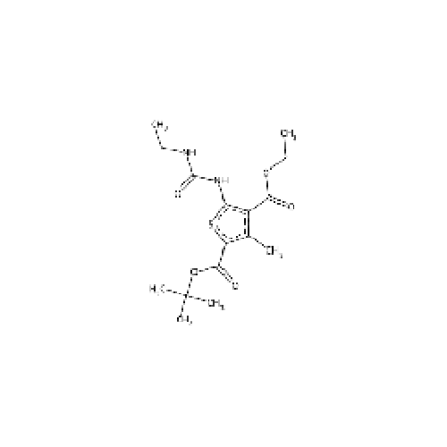 CCNC(=O)Nc1sc(C(=O)OC(C)(C)C)c(C)c1C(=O)OCC